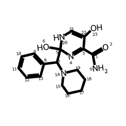 NC(=O)C1=NC(O)(C(c2ccccc2)N2CCCCC2)NC=C1O